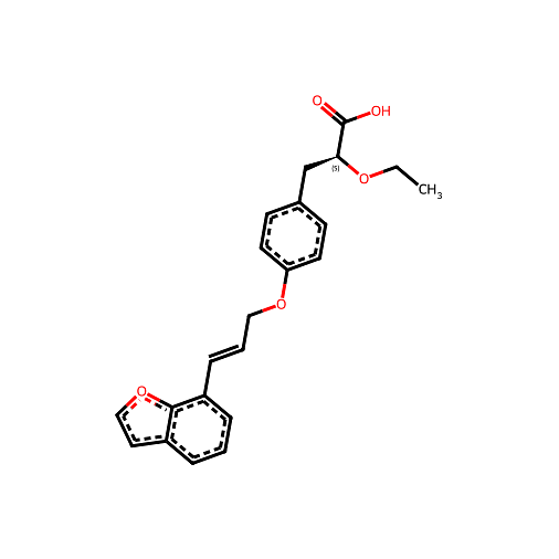 CCO[C@@H](Cc1ccc(OCC=Cc2cccc3ccoc23)cc1)C(=O)O